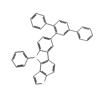 c1ccc(-c2ccc(-c3ccccc3)c(-c3ccc4c(c3)c3ccc5occc5c3n4-c3ccccc3)c2)cc1